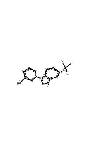 Oc1cccc(-n2cnc3cc(C(F)(F)F)ccc32)c1